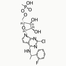 CC(Nc1nc(Cl)nc2c1ccn2[C@@H]1O[C@H](COOP(C)(=O)O)[C@@H](O)[C@H]1O)c1ccccc1F